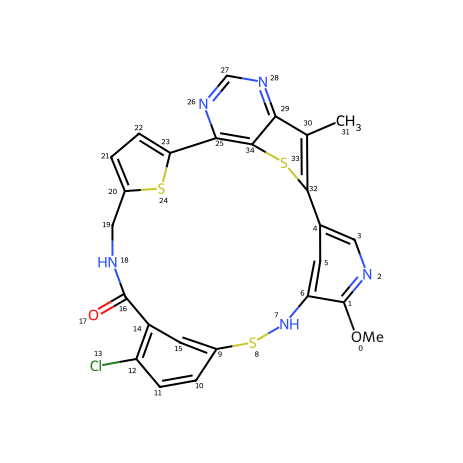 COc1ncc2cc1NSc1ccc(Cl)c(c1)C(=O)NCc1ccc(s1)-c1ncnc3c(C)c-2sc13